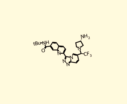 CC(C)(C)NC(=O)c1ccc2ccc(-c3nnc4ccc([C@@H](N5CC[C@H](N)C5)C(F)(F)F)cn34)nc2c1